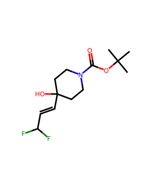 CC(C)(C)OC(=O)N1CCC(O)(C=CC(F)F)CC1